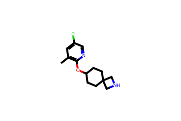 Cc1cc(Cl)cnc1OC1CCC2(CC1)CNC2